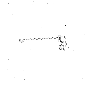 CCCCCCCCCCCCCCCC[SiH](C)O[SiH2][SiH](C)O[SiH3]